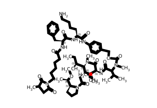 CC[C@H](C)[C@@H]([C@@H](CC(=O)N1CCC[C@H]1[C@@H](C)OC)OC)N(C)C(=O)[C@@H](NC(=O)C(C(C)C)N(C)C(=O)OCc1ccc(NC(=O)[C@H](CCCCN)NC(=O)[C@H](Cc2ccccc2)NC(=O)CCCCCN2C(=O)CC(C)C2=O)cc1)C(C)C